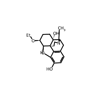 CCO[C@H]1CC[C@@]2(O)C3Cc4ccc(O)c5c4[C@@]2(CCN3C)[C@H]1O5